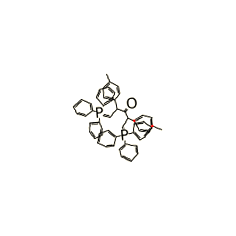 Cc1ccc(C(C=P(c2ccccc2)(c2ccccc2)c2ccccc2)C(=O)C(C=P(c2ccccc2)(c2ccccc2)c2ccccc2)c2ccc(C)cc2)cc1